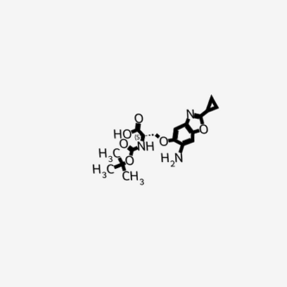 CC(C)(C)OC(=O)N[C@@H](COc1cc2nc(C3CC3)oc2cc1N)C(=O)O